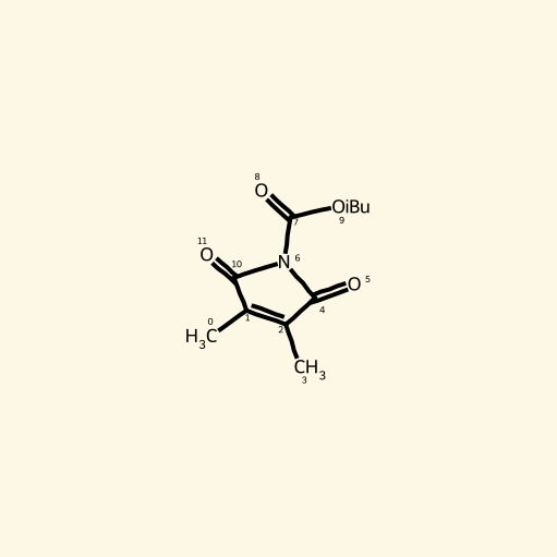 CC1=C(C)C(=O)N(C(=O)OCC(C)C)C1=O